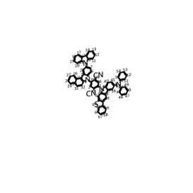 N#Cc1cc(-n2c3ccc(-n4c5ccccc5c5ccccc54)cc3c3c4ccccc4ccc32)c(C#N)cc1-n1c2ccc(N(c3ccccc3)c3ccccc3)cc2c2cc3c(cc21)sc1ccccc13